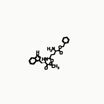 COC(=O)[C@H](Cc1c[nH]c2ccccc12)NC(=O)CC[C@@H](N)C(=O)OCc1ccccc1